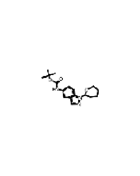 CC(C)(C)OC(=O)Nc1ccc2c(cnn2C2CCCCO2)c1